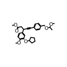 COC(=O)CC(C#Cc1ccc(COC(C)OC)cc1)c1ccc(OC)c(OC2CCCC2)c1